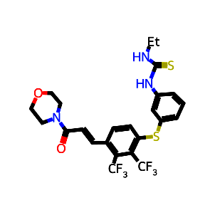 CCNC(=S)Nc1cccc(Sc2ccc(C=CC(=O)N3CCOCC3)c(C(F)(F)F)c2C(F)(F)F)c1